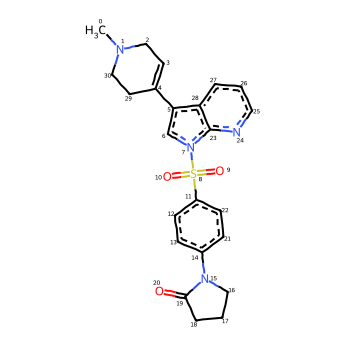 CN1CC=C(c2cn(S(=O)(=O)c3ccc(N4CCCC4=O)cc3)c3ncccc23)CC1